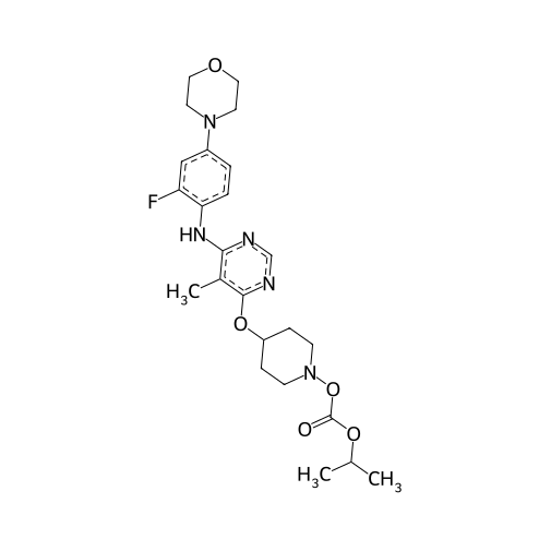 Cc1c(Nc2ccc(N3CCOCC3)cc2F)ncnc1OC1CCN(OC(=O)OC(C)C)CC1